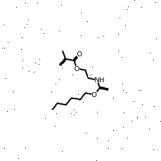 C=C(NCCOC(=O)C(=C)C)OCCCCCC